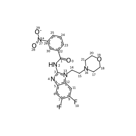 O=C(Nc1nc2cc(F)c(F)cc2n1CCN1CCOCC1)c1cccc([N+](=O)[O-])c1